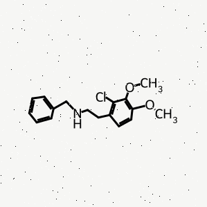 COc1ccc(CCNCc2ccccc2)c(Cl)c1OC